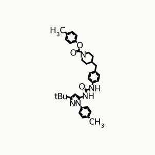 Cc1ccc(OC(=O)N2CCC(Cc3ccc(NC(=O)Nc4cc(C(C)(C)C)nn4-c4ccc(C)cc4)cc3)CC2)cc1